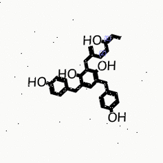 C=C(/C=C\C(O)=C/C)CC1C(O)=C(Cc2ccc(O)cc2)C=C(Cc2ccc(O)cc2)C1O